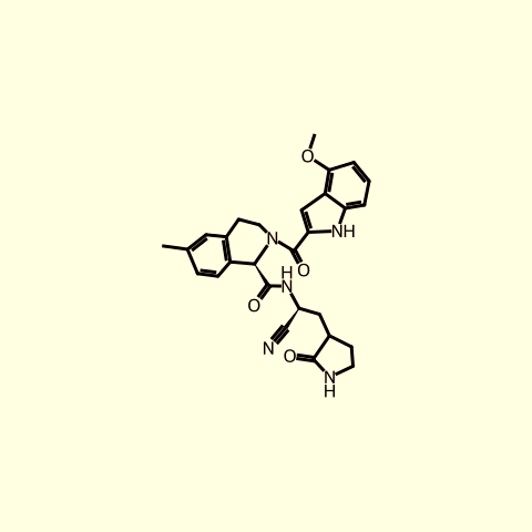 COc1cccc2[nH]c(C(=O)N3CCc4cc(C)ccc4[C@@H]3C(=O)N[C@H](C#N)CC3CCNC3=O)cc12